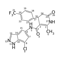 CC1=C(C(=O)Nc2cc(Cl)c3[nH]ncc3c2)C(c2ccc(C(F)(F)F)cc2)CC(=O)N1